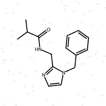 CC(C)C(=O)NCc1nccn1Cc1ccccc1